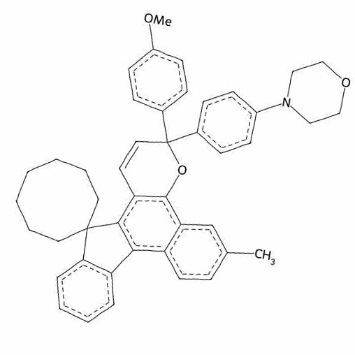 COc1ccc(C2(c3ccc(N4CCOCC4)cc3)C=Cc3c4c(c5ccc(C)cc5c3O2)-c2ccccc2C42CCCCCCC2)cc1